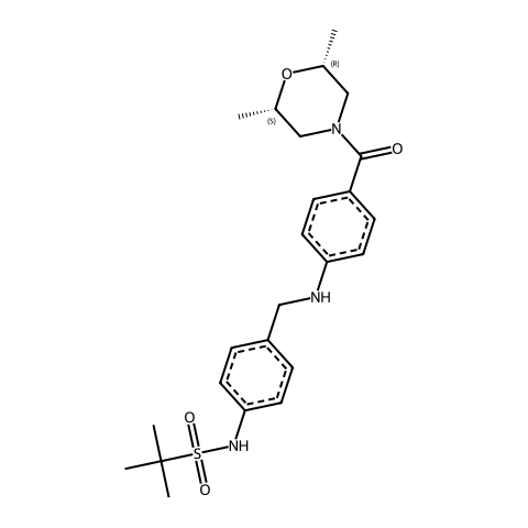 C[C@@H]1CN(C(=O)c2ccc(NCc3ccc(NS(=O)(=O)C(C)(C)C)cc3)cc2)C[C@H](C)O1